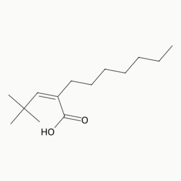 CCCCCCCC(=CC(C)(C)C)C(=O)O